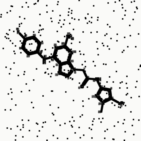 CCCc1cc(NC(=O)Cn2cnc3c(Nc4ccc(F)cc4)nc(N)nc32)nn1C